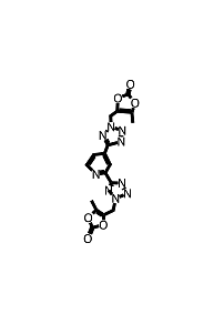 Cc1oc(=O)oc1Cn1nnc(-c2ccnc(-c3nnn(Cc4oc(=O)oc4C)n3)c2)n1